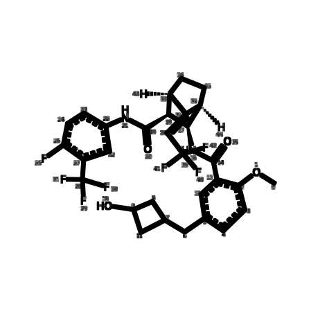 COc1ccc(CC2CC(O)C2)cc1C(=O)N[C@H]1[C@@H](C(=O)Nc2ccc(F)c(C(F)(F)F)c2)[C@H]2CC[C@@H]1/C2=C\C(F)(F)F